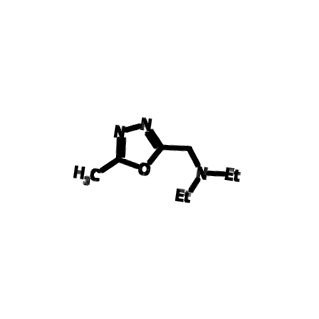 CCN(CC)Cc1nnc(C)o1